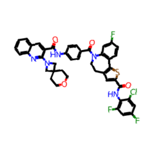 O=C(Nc1c(F)cc(F)cc1Cl)c1cc2c(s1)-c1ccc(F)cc1N(C(=O)c1ccc(NC(=O)c3cc4ccccc4nc3N3CC4(CCOCC4)C3)cc1)CC2